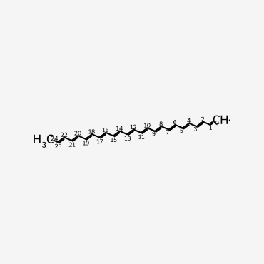 [CH]=CC=CC=CC=CC=CC=CC=CC=CC=CC=CC=CC=CC